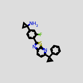 NC1(c2ccc(-c3nc4ccc(C5(c6ccccc6)C=C5)nc4s3)c(F)c2)CC1